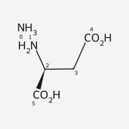 N.N[C@@H](CC(=O)O)C(=O)O